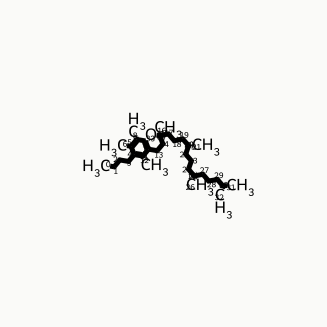 CCCCc1c(C)c(C)c2c(c1C)CC[C@@](C)(CCC[C@H](C)CCC[C@H](C)CCCC(C)C)O2